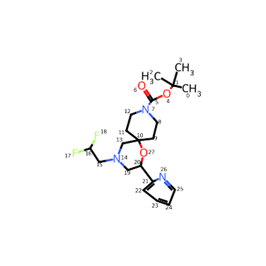 CC(C)(C)OC(=O)N1CCC2(CC1)CN(CC(F)F)CC(c1ccccn1)O2